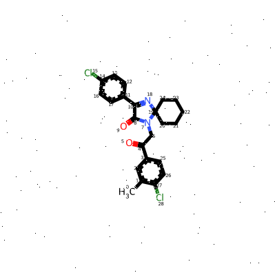 Cc1cc(C(=O)CN2C(=O)C(c3ccc(Cl)cc3)=NC23CCCCC3)ccc1Cl